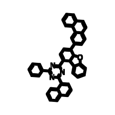 C1=C(c2ccc3ccc4ccccc4c3c2)C2Oc3ccccc3C2C(c2nc(-c3ccccc3)nc(-c3cccc4ccccc34)n2)=C1